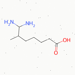 CC(CCCCC(=O)O)C(N)N